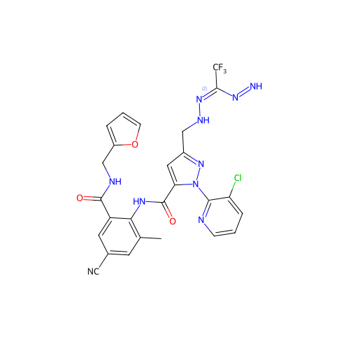 Cc1cc(C#N)cc(C(=O)NCc2ccco2)c1NC(=O)c1cc(CN/N=C(\N=N)C(F)(F)F)nn1-c1ncccc1Cl